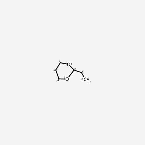 FC(F)(F)CC1OCCCO1